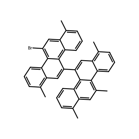 Cc1cccc2c1cc(-c1cc3c(C)cccc3c3c(Br)cc4c(C)cccc4c13)c1c3cccc(C)c3cc(C)c21